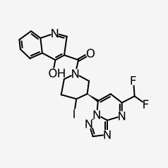 O=C(c1cnc2ccccc2c1O)N1CCC(I)[C@H](c2cc(C(F)F)nc3ncnn23)C1